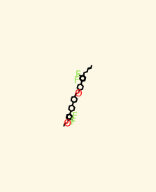 C/C=C/CCc1ccc(C2CCC(OCC3CCC(C4CCC(c5ccc(OCC)c(F)c5F)CC4)CC3)CC2)c(F)c1F